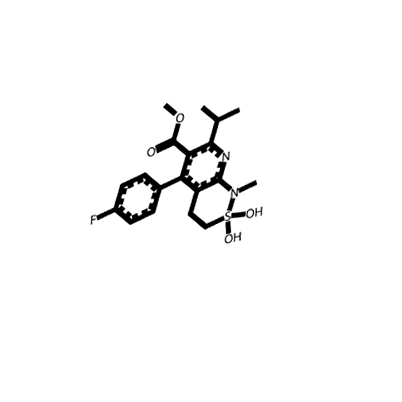 COC(=O)c1c(C(C)C)nc2c(c1-c1ccc(F)cc1)CCS(O)(O)N2C